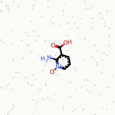 Nc1c(C(=O)O)ccc[n+]1[O-]